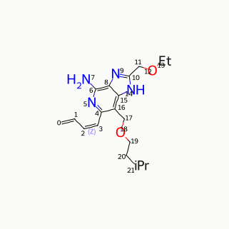 C=C/C=C\c1nc(N)c2nc(COCC)[nH]c2c1COCCC(C)C